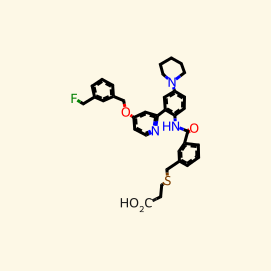 O=C(O)CCSCc1cccc(C(=O)Nc2ccc(N3CCCCC3)cc2-c2cc(OCc3cccc(CF)c3)ccn2)c1